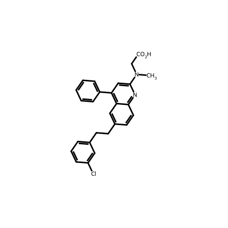 CN(CC(=O)O)c1cc(-c2ccccc2)c2cc(CCc3cccc(Cl)c3)ccc2n1